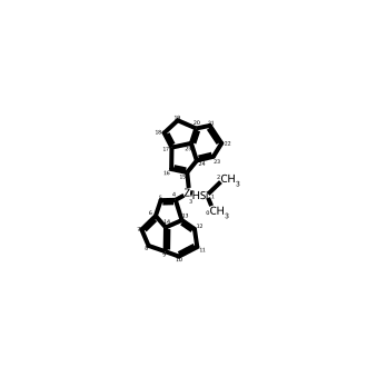 C[SiH](C)[Zr]([C]1=CC2=CCc3cccc1c32)[C]1=CC2=CCc3cccc1c32